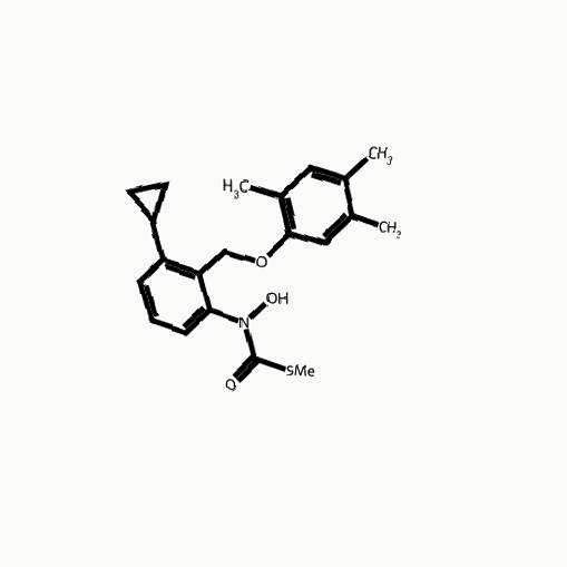 CSC(=O)N(O)c1cccc(C2CC2)c1COc1cc(C)c(C)cc1C